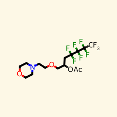 CC(=O)OC(COCCN1CCOCC1)CC(F)(F)C(F)(F)C(F)(F)C(F)(F)F